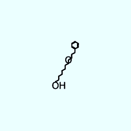 OCCCCCCCCOCCCc1ccccc1